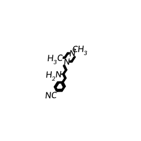 CC1CN(C)CCN1CC[C@H](N)Cc1ccc(C#N)cc1